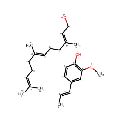 C/C=C/c1ccc(O)c(OC)c1.CC(C)=CCCC(C)=CCCC(C)=CCO